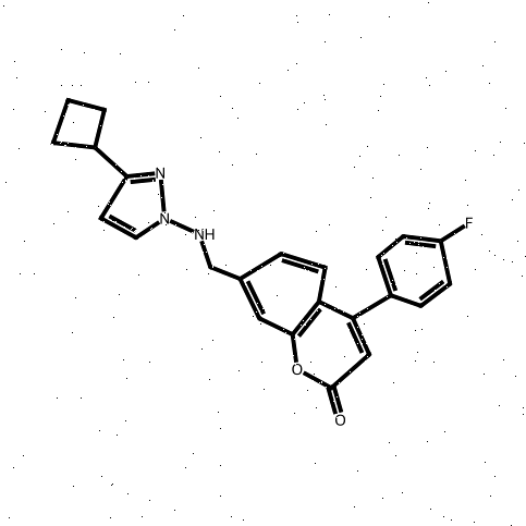 O=c1cc(-c2ccc(F)cc2)c2ccc(CNn3ccc(C4CCC4)n3)cc2o1